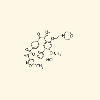 C=C(C(=O)c1ccc(S(=O)(=O)Nc2cc(C)on2)cc1)c1cc(-c2cccs2)c(OC)cc1OCCN1CCOCC1.Cl